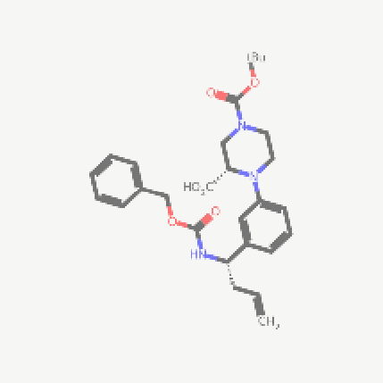 C=CC[C@H](NC(=O)OCc1ccccc1)c1cccc(N2CCN(C(=O)OC(C)(C)C)C[C@H]2C(=O)O)c1